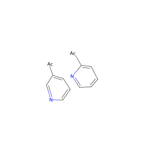 CC(=O)c1ccccn1.CC(=O)c1cccnc1